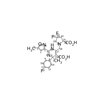 Cc1cc(C2=NC(C)(c3ccc(F)cc3)C(C(=O)O)=C(CN3CC(F)(F)C[C@H]3C(=O)O)N2)no1